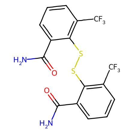 NC(=O)c1cccc(C(F)(F)F)c1SSc1c(C(N)=O)cccc1C(F)(F)F